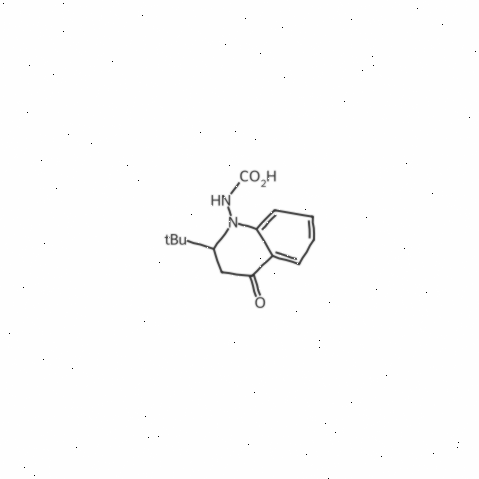 CC(C)(C)C1CC(=O)c2ccccc2N1NC(=O)O